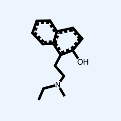 CCN(C)CCc1c(O)ccc2ccccc12